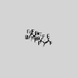 FC(F)=C(F)C(F)(F)C(F)(F)C(F)(Br)C(F)(F)Br